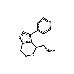 CNCC1OCCc2scc(-c3ccncc3)c21